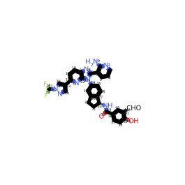 Nc1ncccc1-c1nc2ccc(-c3cnn(C(F)F)c3)nc2n1-c1ccc2c(c1)CC[C@@H]2NC(=O)c1ccc(O)c(C=O)c1